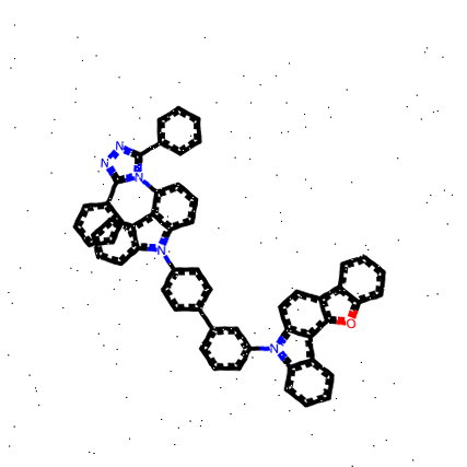 c1ccc(-c2nnc(-c3ccccc3)n2-c2cccc3c2c2ccccc2n3-c2ccc(-c3cccc(-n4c5ccccc5c5c6oc7ccccc7c6ccc54)c3)cc2)cc1